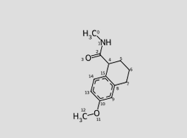 CNC(=O)C1CCCc2cc(OC)ccc21